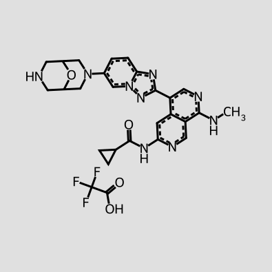 CNc1ncc(-c2nc3ccc(N4CC5CNCC(C4)O5)cn3n2)c2cc(NC(=O)C3CC3)ncc12.O=C(O)C(F)(F)F